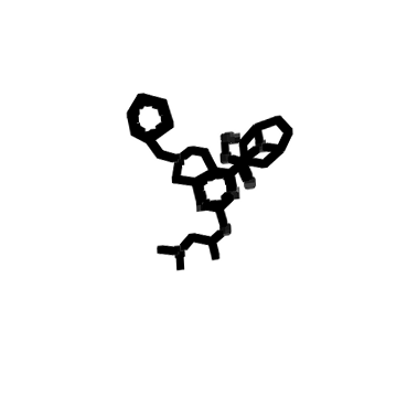 CC(CN(C)C)Oc1nc2c(c(N3CC4CCC(C3)N4C(=O)OC(C)(C)C)n1)CCN(Cc1ccccc1)C2